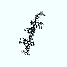 CCCCC(CC)Cc1cc2sc(-c3c4nsnc4c(-c4cc5c(s4)c4sc6cc(-c7c8nsnc8c(-c8cc9sc(CC(CC)CCCC)cc9s8)c8nc(CC)c(CC)nc78)sc6c4n5CC(CC)CCCC)c4nc(CC)c(CC)nc34)cc2s1